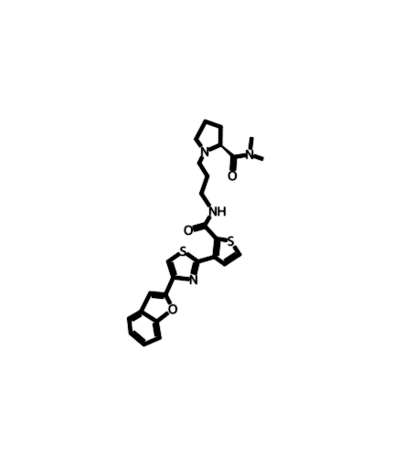 CN(C)C(=O)[C@@H]1CCCN1CCCNC(=O)c1sccc1-c1nc(-c2cc3ccccc3o2)cs1